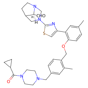 Cc1ccc(OCc2ccc(CN3CCN(C(=O)C4CC4)CC3)cc2C)c(-c2csc(N3CC4CCN(C3)[C@H]4C=O)n2)c1